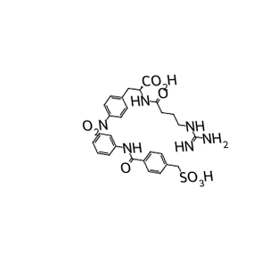 N=C(N)NCCCC(=O)N[C@@H](Cc1ccc([N+](=O)[O-])cc1)C(=O)O.O=C(Nc1ccccc1)c1ccc(CS(=O)(=O)O)cc1